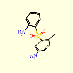 Cc1ccc(N)cc1S(=O)(=O)c1ccccc1N